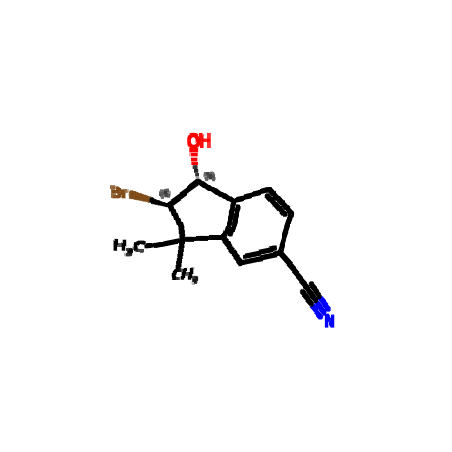 CC1(C)c2cc(C#N)ccc2[C@@H](O)[C@@H]1Br